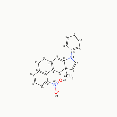 CC12C=CN(c3ccccc3)C1=CC1=C(C2)c2c(cccc2[N+](=O)[O-])CC1